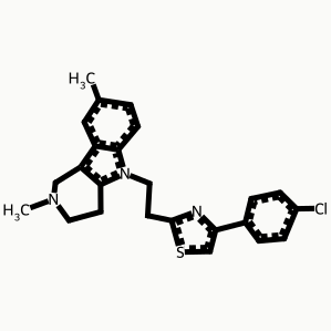 Cc1ccc2c(c1)c1c(n2CCc2nc(-c3ccc(Cl)cc3)cs2)CCN(C)C1